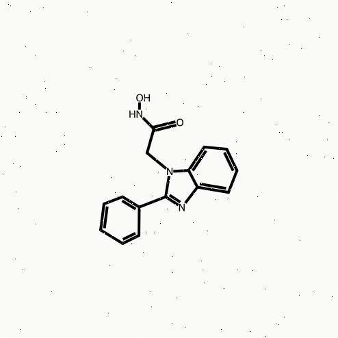 O=C(Cn1c(-c2ccccc2)nc2ccccc21)NO